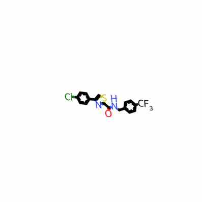 O=C(NCc1ccc(C(F)(F)F)cc1)c1nc(-c2ccc(Cl)cc2)cs1